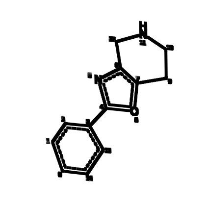 c1ccc(-c2nc3c(o2)CCNC3)cc1